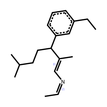 C/C=N\C=C(/C)C(CCC(C)C)c1cccc(CC)c1